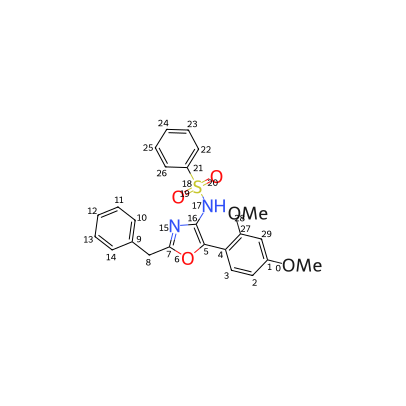 COc1ccc(-c2oc(Cc3ccccc3)nc2NS(=O)(=O)c2ccccc2)c(OC)c1